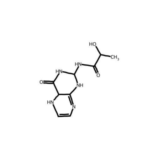 CC(O)C(=O)NC1NC(=O)C2NC=CN=C2N1